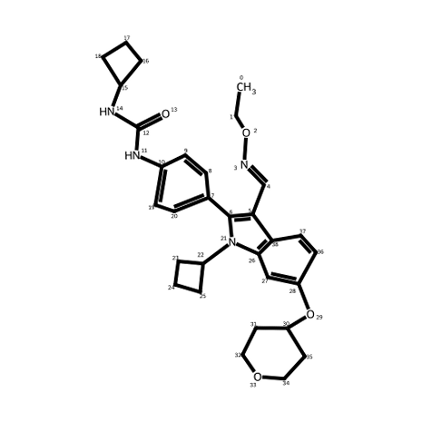 CCON=Cc1c(-c2ccc(NC(=O)NC3CCC3)cc2)n(C2CCC2)c2cc(OC3CCOCC3)ccc12